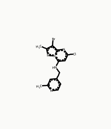 Cc1cc(CNc2cc(Cl)nc3c(Br)c(C)nn23)ccn1